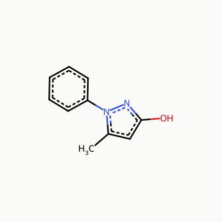 Cc1cc(O)nn1-c1ccccc1